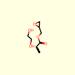 C=CC(=O)OCC1CO1.OCCO